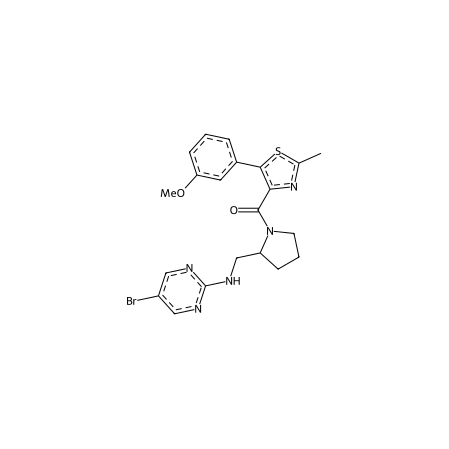 COc1cccc(-c2sc(C)nc2C(=O)N2CCCC2CNc2ncc(Br)cn2)c1